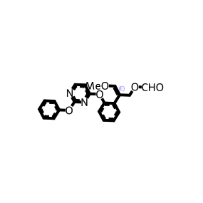 CO/C=C(/COC=O)c1ccccc1Oc1ccnc(Oc2ccccc2)n1